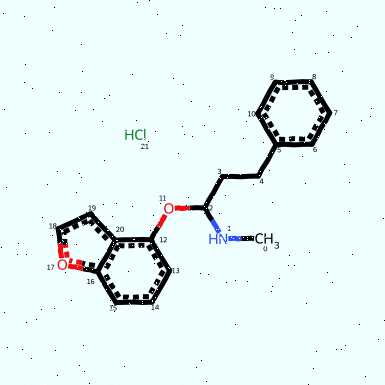 CNC(CCc1ccccc1)Oc1cccc2occc12.Cl